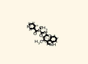 C[C@H](c1c[nH]c2ccccc12)[C@@H]1OC(N(C)C(=O)c2cccnc2)=NC1=O